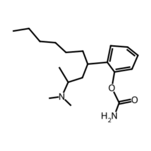 CCCCCCC(CC(C)N(C)C)c1ccccc1OC(N)=O